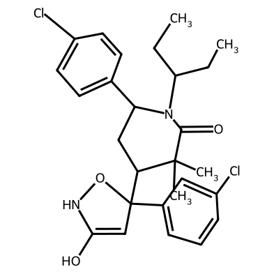 CCC(CC)N1C(=O)C(C)(C)C(C2(c3cccc(Cl)c3)C=C(O)NO2)CC1c1ccc(Cl)cc1